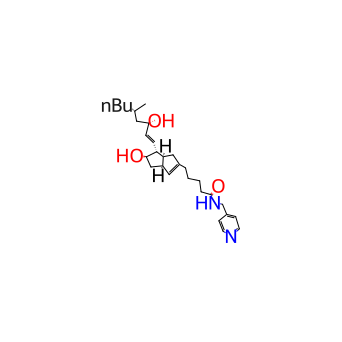 CCCC[C@H](C)C[C@H](O)/C=C/[C@@H]1[C@H]2CC(CCCCC(=O)NCc3ccncc3)=C[C@H]2C[C@H]1O